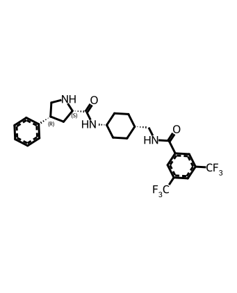 O=C(NC[C@H]1CC[C@@H](NC(=O)[C@@H]2C[C@H](c3ccccc3)CN2)CC1)c1cc(C(F)(F)F)cc(C(F)(F)F)c1